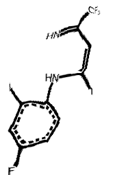 N=C(/C=C(/I)Nc1ccc(F)cc1I)C(F)(F)F